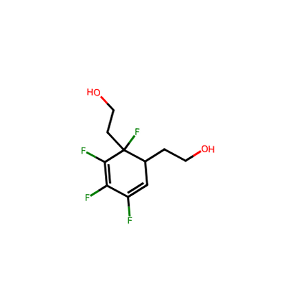 OCCC1C=C(F)C(F)=C(F)C1(F)CCO